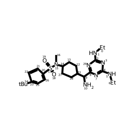 CCNc1nc(NCC)nc(C(N)C2CCC(N(C)S(=O)(=O)c3ccc(C(C)(C)C)cc3)CC2)n1